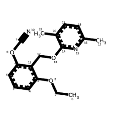 CCOc1cccc(OC#N)c1COc1nc(C)ccc1C